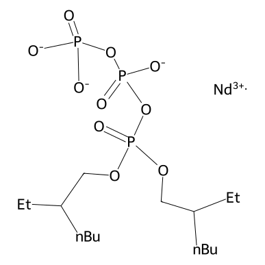 CCCCC(CC)COP(=O)(OCC(CC)CCCC)OP(=O)([O-])OP(=O)([O-])[O-].[Nd+3]